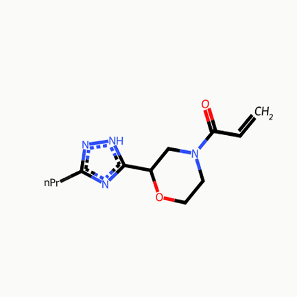 C=CC(=O)N1CCOC(c2nc(CCC)n[nH]2)C1